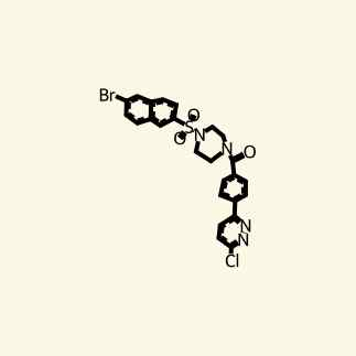 O=C(c1ccc(-c2ccc(Cl)nn2)cc1)N1CCN(S(=O)(=O)c2ccc3cc(Br)ccc3c2)CC1